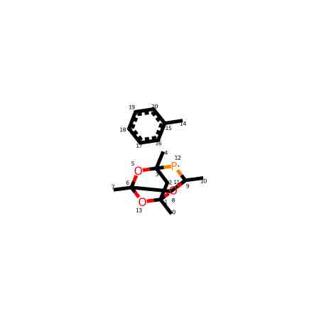 CC12CC3(C)OC(C)(CC(C)(O1)[P]3)O2.Cc1ccccc1